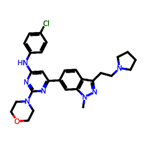 Cn1nc(CCN2CCCC2)c2ccc(-c3cc(Nc4ccc(Cl)cc4)nc(N4CCOCC4)n3)cc21